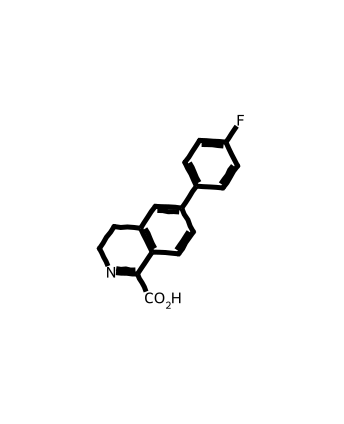 O=C(O)C1=NCCc2cc(-c3ccc(F)cc3)ccc21